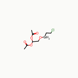 CC(=O)OC(CO[SiH2]CCCl)OC(C)=O